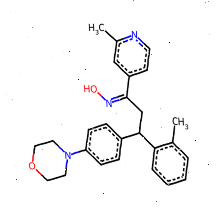 Cc1cc(C(CC(c2ccc(N3CCOCC3)cc2)c2ccccc2C)=NO)ccn1